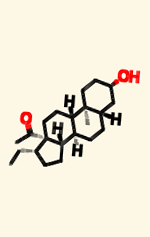 CC[C@H]1CC[C@H]2[C@@H]3CC[C@H]4C[C@H](O)CC[C@]4(C)[C@H]3CC[C@]12C(C)=O